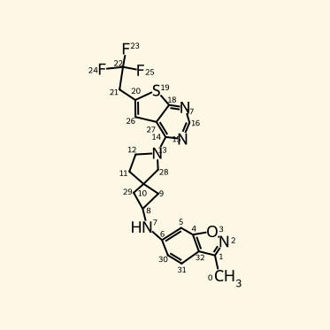 Cc1noc2cc(NC3CC4(CCN(c5ncnc6sc(CC(F)(F)F)cc56)C4)C3)ccc12